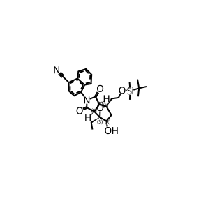 CC[C@@]12O[C@@](CCO[Si](C)(C)C(C)(C)C)(C[C@H]1O)[C@@H]1C(=O)N(c3ccc(C#N)c4ccccc34)C(=O)[C@@H]12